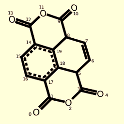 O=C1OC(=O)C2C=CC3C(=O)OC(=O)c4ccc1c2c43